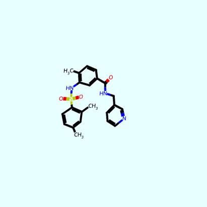 Cc1ccc(S(=O)(=O)Nc2cc(C(=O)NCc3cccnc3)ccc2C)c(C)c1